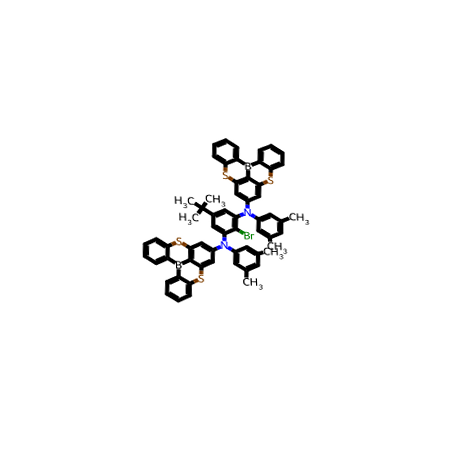 Cc1cc(C)cc(N(c2cc3c4c(c2)Sc2ccccc2B4c2ccccc2S3)c2cc(C(C)(C)C)cc(N(c3cc(C)cc(C)c3)c3cc4c5c(c3)Sc3ccccc3B5c3ccccc3S4)c2Br)c1